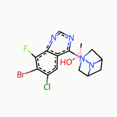 CB(O)N1C2CC1CN(c1ncnc3c(F)c(Br)c(Cl)cc13)C2